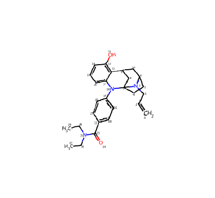 C=CCN1C2CCC13CC(C2)c1c(O)cccc1N3c1ccc(C(=O)N(CC)CC)cc1